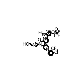 CCOc1ncccc1-c1ccc2c(n1)C(=O)N(C1CN(CCO)C1)CC21CCN(c2cccc(Cl)c2C(F)(F)F)CC1.O=C(O)C(F)(F)F